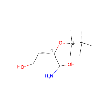 CC(C)(C)[Si](C)(C)O[C@@H](CCO)C(N)O